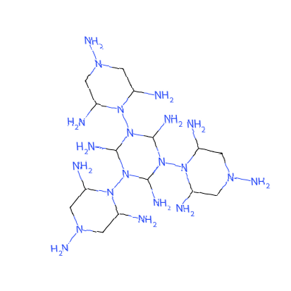 NC1CN(N)CC(N)N1N1C(N)N(N2C(N)CN(N)CC2N)C(N)N(N2C(N)CN(N)CC2N)C1N